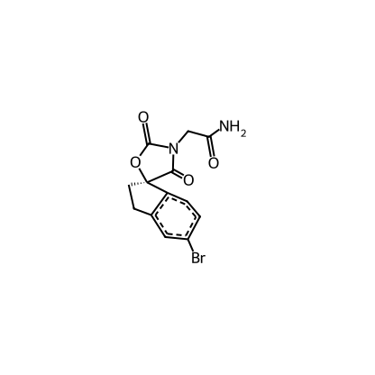 NC(=O)CN1C(=O)O[C@@]2(CCc3cc(Br)ccc32)C1=O